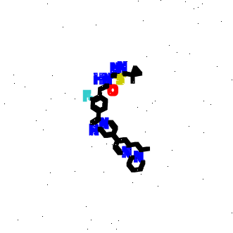 CC(Cc1cc(-c2ccn3c(-c4ccc(CC(=O)Nc5nnc(C6(C)CC6)s5)c(F)c4)cnc3c2)ccn1)N1CCCCC1